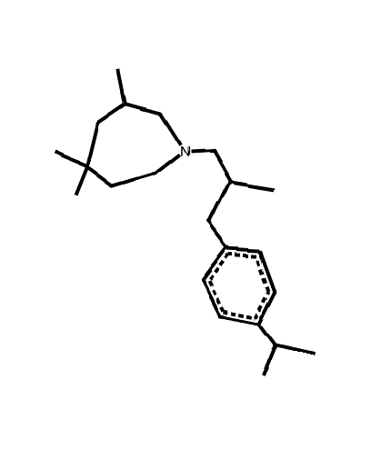 CC(Cc1ccc(C(C)C)cc1)CN1CCC(C)(C)CC(C)C1